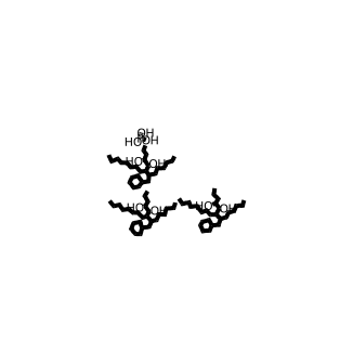 CCCCCCCCC(C(CCCCCC)CC1CCCCC1)C(O)C(O)CCC.CCCCCCCCC(C(CCCCCC)CC1CCCCC1)C(O)C(O)CCC.CCCCCCCCC(C(CCCCCC)CC1CCCCC1)C(O)C(O)CCC.OP(O)O